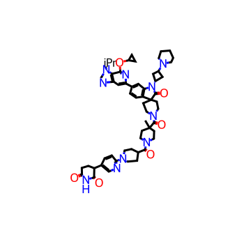 CC(C)n1cnc2cc(-c3ccc4c(c3)N(C3CC(N5CCCCC5)C3)C(=O)C43CCN(C(=O)C4(C)CCN(C(=O)C5CCN(c6ccc(C7CCC(=O)NC7=O)cn6)CC5)CC4)CC3)nc(OC3CC3)c21